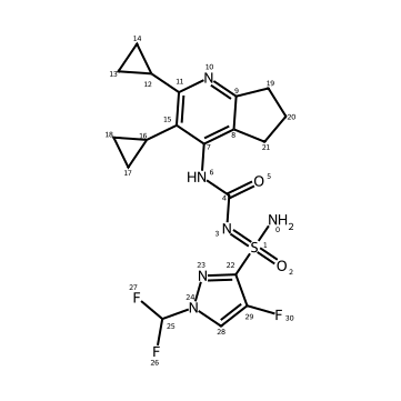 NS(=O)(=NC(=O)Nc1c2c(nc(C3CC3)c1C1CC1)CCC2)c1nn(C(F)F)cc1F